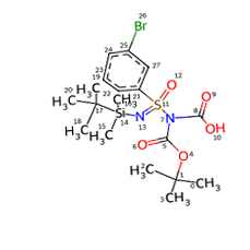 CC(C)(C)OC(=O)N(C(=O)O)S(=O)(=N[Si](C)(C)C(C)(C)C)c1cccc(Br)c1